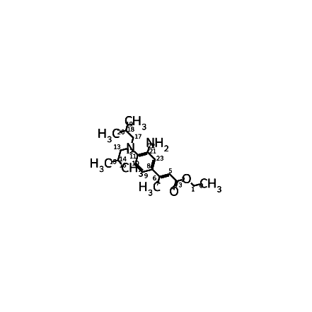 CCOC(=O)C=C(C)c1ccc(N(CC(C)C)CC(C)C)c(N)c1